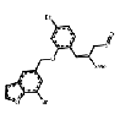 CCc1ccc(C=C(C[S+]=O)SC)c(OCc2cc(Br)c3occc3c2)c1